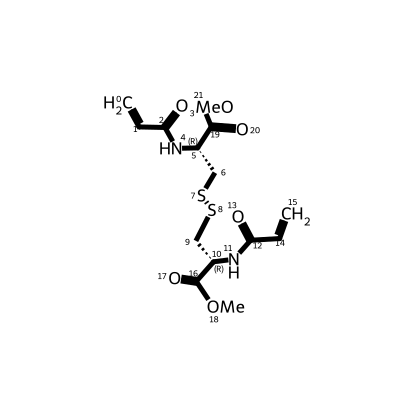 C=CC(=O)N[C@@H](CSSC[C@H](NC(=O)C=C)C(=O)OC)C(=O)OC